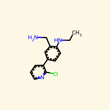 CCNc1ccc(-c2cccnc2Cl)cc1CN